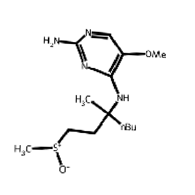 CCCCC(C)(CC[S+](C)[O-])Nc1nc(N)ncc1OC